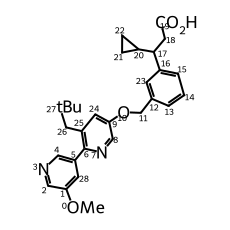 COc1cncc(-c2ncc(OCc3cccc(C(CC(=O)O)C4CC4)c3)cc2CC(C)(C)C)c1